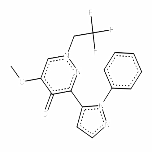 COc1cn(CC(F)(F)F)nc(-c2ccnn2-c2ccccc2)c1=O